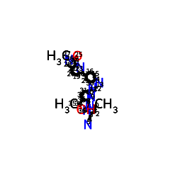 Cc1cc(C#N)nn1-c1nc(-n2cnc3ccc(-c4ccc5c(n4)C(=O)N(C)C5)cc32)ccc1C(C)O